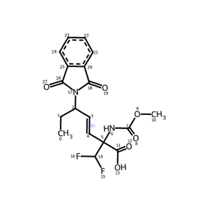 CCC(/C=C/C(NC(=O)OC)(C(=O)O)C(F)F)N1C(=O)c2ccccc2C1=O